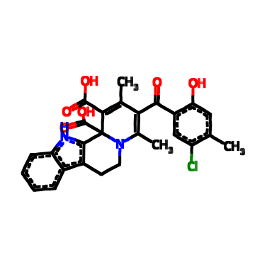 CC1=C(C(=O)O)C2(C(=O)O)c3[nH]c4ccccc4c3CCN2C(C)=C1C(=O)c1cc(Cl)c(C)cc1O